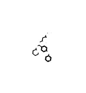 CC(C)(C)OC(=O)C[C@@H](O)C[C@@H](OC1CCCCO1)c1ccc(Oc2ccccc2)cc1